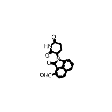 O=Cc1ccc2cccc3c2c1C(=O)N3C1CCC(=O)NC1=O